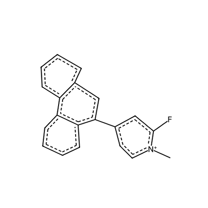 C[n+]1ccc(-c2cc3ccccc3c3ccccc23)cc1F